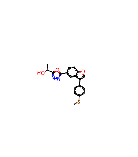 CSc1ccc(-c2coc3ccc(-c4nnc([C@H](C)O)o4)cc23)cc1